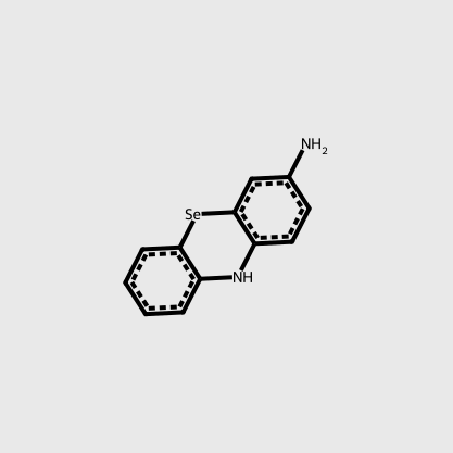 Nc1ccc2c(c1)[Se]c1ccccc1N2